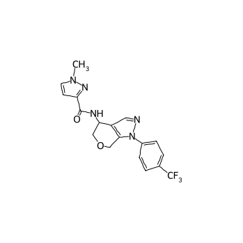 Cn1ccc(C(=O)NC2COCc3c2cnn3-c2ccc(C(F)(F)F)cc2)n1